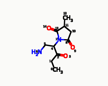 CCC(=O)C(CN)N1C(=O)CC(C)C1=O